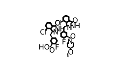 CCOC1CCN(C(=O)c2cc(Cc3n[nH]c(=O)c4cccc(Cl)c34)ccc2F)CC1.O=C(O)c1cc(Cc2n[nH]c(=O)c3cccc(Cl)c23)ccc1F